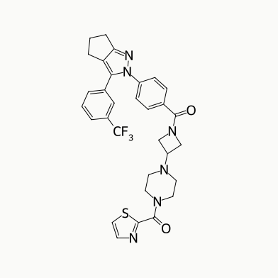 O=C(c1ccc(-n2nc3c(c2-c2cccc(C(F)(F)F)c2)CCC3)cc1)N1CC(N2CCN(C(=O)c3nccs3)CC2)C1